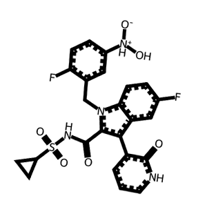 O=C(NS(=O)(=O)C1CC1)c1c(-c2ccc[nH]c2=O)c2cc(F)ccc2n1Cc1cc([NH+]([O-])O)ccc1F